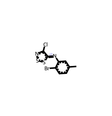 Cc1ccc(Br)c(/N=c2\ssnc2Cl)c1